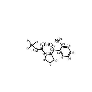 CC(C)(C)OC(=O)N1CCCC1C(O)c1ccccc1Br